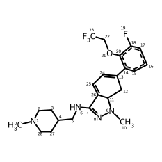 CN1CCC(CNC2=NN(C)C3CC(c4cccc(F)c4OCC(F)(F)F)=CC=C23)CC1